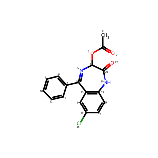 CC(=O)OC1N=C(c2ccccc2)c2cc(Cl)ccc2NC1=O